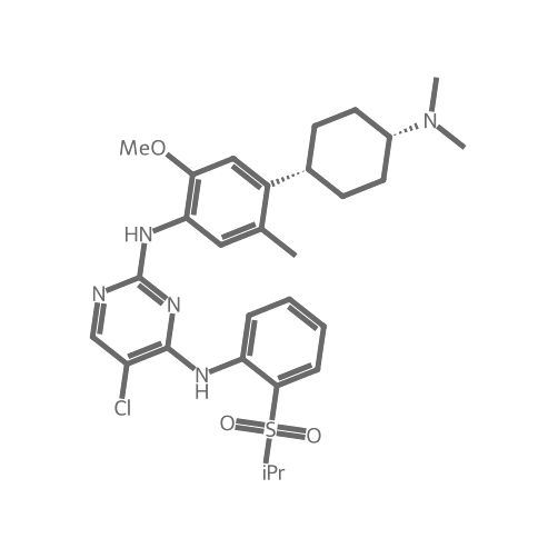 COc1cc([C@H]2CC[C@@H](N(C)C)CC2)c(C)cc1Nc1ncc(Cl)c(Nc2ccccc2S(=O)(=O)C(C)C)n1